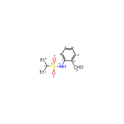 CCC(CC)S(=O)(=O)Nc1ccccc1[C]=O